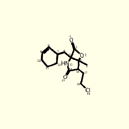 CC12OC(=O)C1(CC1C=CCCC1)NC(=O)C2CCCl